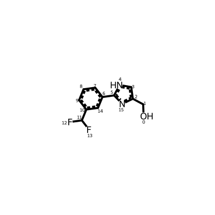 OCc1c[nH]c(-c2cccc(C(F)F)c2)n1